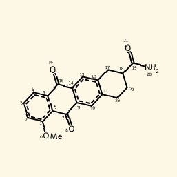 COc1cccc2c1C(=O)c1cc3c(cc1C2=O)CC(C(N)=O)CC3